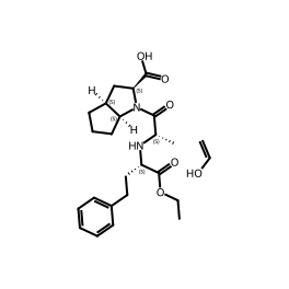 C=CO.CCOC(=O)[C@H](CCc1ccccc1)N[C@@H](C)C(=O)N1[C@H](C(=O)O)C[C@@H]2CCC[C@@H]21